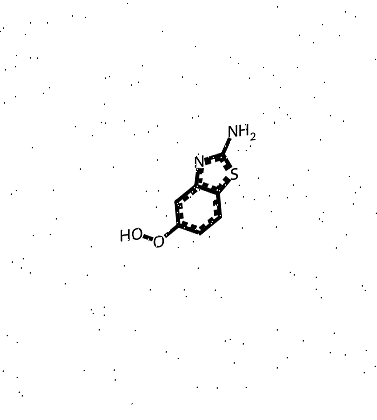 Nc1nc2cc(OO)ccc2s1